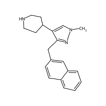 Cn1cc(C2CCNCC2)c(Cc2ccc3ccccc3c2)n1